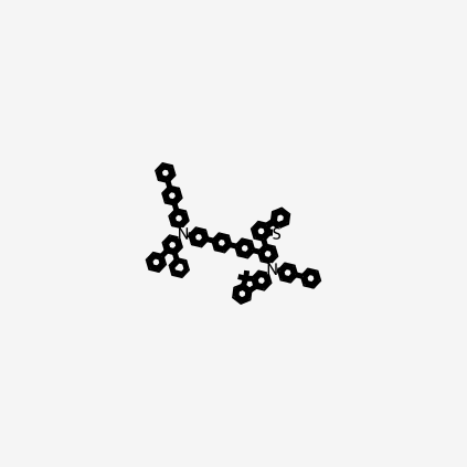 CC1(C)c2ccccc2-c2ccc(N(c3ccc(-c4ccccc4)cc3)c3ccc(-c4cccc5c4sc4ccccc45)c(-c4ccc(-c5ccc(-c6ccc(N(c7ccc(-c8ccc(-c9ccccc9)cc8)cc7)c7ccc(-c8ccccc8)c(C8=CC=CCC8)c7)cc6)cc5)cc4)c3)cc21